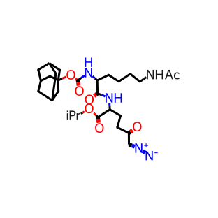 CC(=O)NCCCCC(NC(=O)OC12CC3CC(CC(C3)C1)C2)C(=O)NC(CCC(=O)C=[N+]=[N-])C(=O)OC(C)C